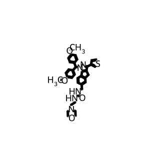 COc1ccc(C(c2ccc(OC)cc2)n2nc(-c3ccsc3)c3c2-c2ccc(CNC(=O)NCCN4CCOCC4)cc2C3)cc1